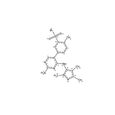 Cc1ccc(-c2cnc(N)nc2Nc2c(C)c(C)nn2C)cc1S(=O)(=O)C(C)C